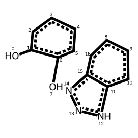 Oc1ccccc1O.c1ccc2[nH]nnc2c1